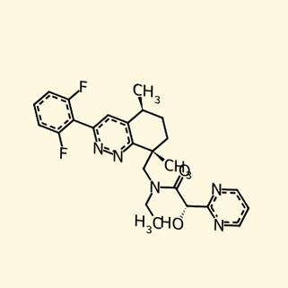 CCN(C[C@@]1(C)CC[C@H](C)c2cc(-c3c(F)cccc3F)nnc21)C(=O)[C@@H](O)c1ncccn1